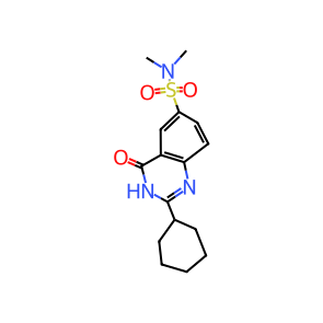 CN(C)S(=O)(=O)c1ccc2nc(C3CCCCC3)[nH]c(=O)c2c1